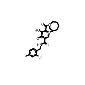 Cc1ccc(CNC(=O)c2cn3c(c(O)c2=O)C(=O)N2CCCCC3C2)c(Cl)c1